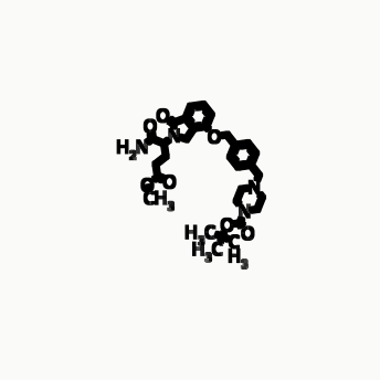 COC(=O)CCC(C(N)=O)N1Cc2c(OCc3ccc(CN4CCN(C(=O)OC(C)(C)C)CC4)cc3)cccc2C1=O